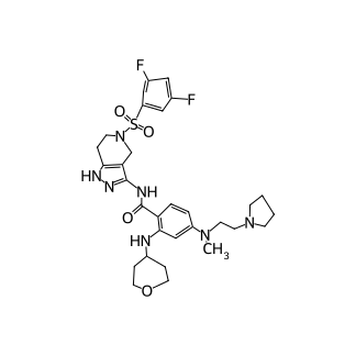 CN(CCN1CCCC1)c1ccc(C(=O)Nc2n[nH]c3c2CN(S(=O)(=O)c2cc(F)cc(F)c2)CC3)c(NC2CCOCC2)c1